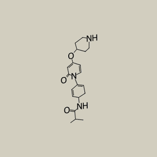 CC(C)C(=O)NC1C=CC(n2ccc(OC3CCNCC3)cc2=O)=CC1